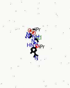 Cc1cc(Nc2ncc(Cl)c(Nc3cn(C)nc3S(=O)(=O)CC(C)C)n2)c(OC(C)C)cc1C1CN(C)C1